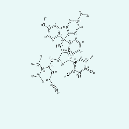 COc1ccc(C(NC2OC(n3cc(C)c(=O)[nH]c3=O)CC2ON(OCC#N)N(C(C)C)C(C)C)(c2ccccc2)c2ccc(OC)cc2)cc1